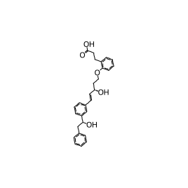 O=C(O)CCc1ccccc1OCC[C@@H](O)/C=C/c1cccc(C(O)Cc2ccccc2)c1